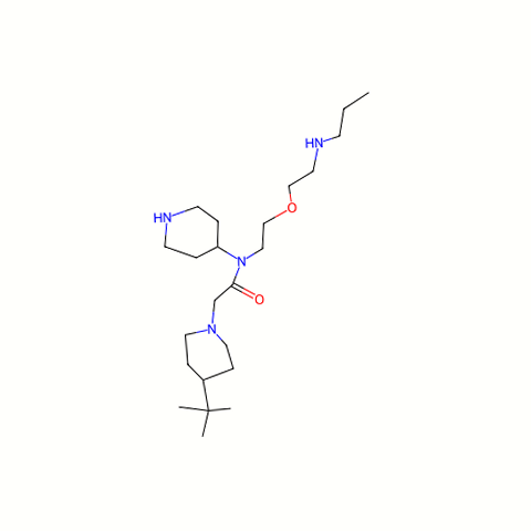 CCCNCCOCCN(C(=O)CN1CCC(C(C)(C)C)CC1)C1CCNCC1